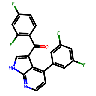 O=C(c1ccc(F)cc1F)c1c[nH]c2nccc(-c3cc(F)cc(F)c3)c12